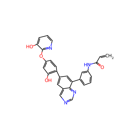 C=CC(=O)Nc1cccc(-c2cc(-c3ccc(Oc4ncccc4O)cc3O)cc3cncnc23)c1